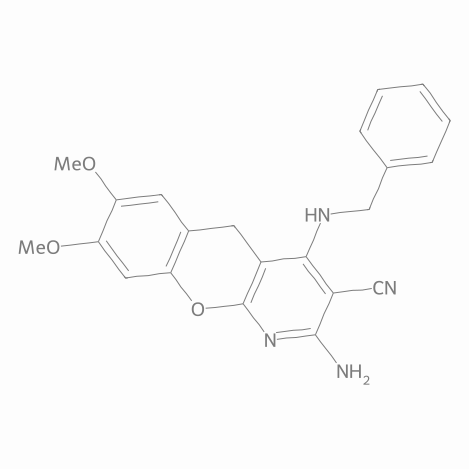 COc1cc2c(cc1OC)Oc1nc(N)c(C#N)c(NCc3ccccc3)c1C2